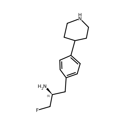 N[C@H](CF)Cc1ccc(C2CCNCC2)cc1